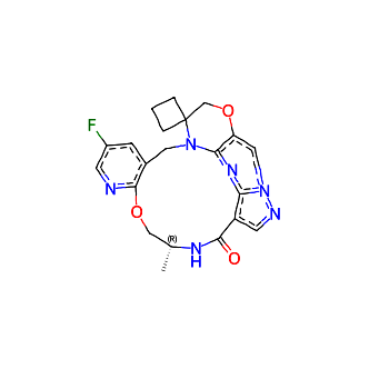 C[C@@H]1COc2ncc(F)cc2CN2c3nc4c(cnn4cc3OCC23CCC3)C(=O)N1